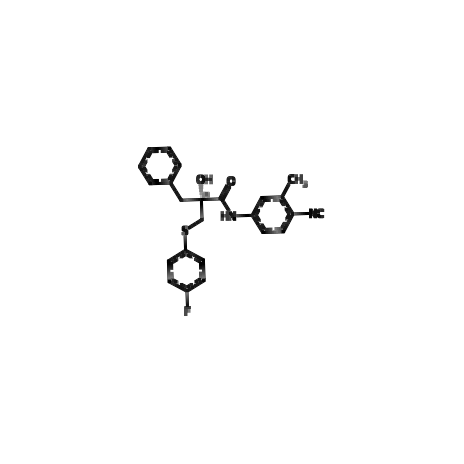 [C-]#[N+]c1ccc(NC(=O)[C@@](O)(CSc2ccc(F)cc2)Cc2ccccc2)cc1C